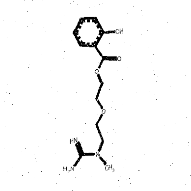 CN(CCOCCOC(=O)c1ccccc1O)C(=N)N